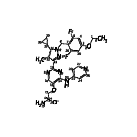 CCOc1cc(F)c(Cn2nc(-c3ncc(OC[S+](N)[O-])c(Nc4ccncc4)n3)c(C)c2C2CC2)c(F)c1